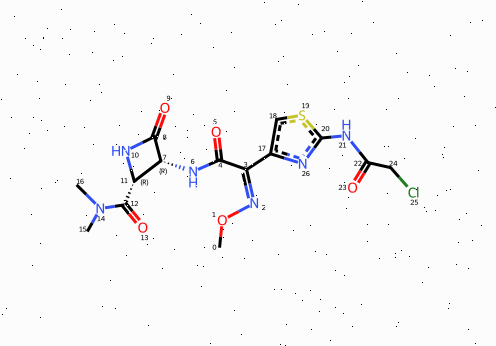 CON=C(C(=O)N[C@H]1C(=O)N[C@H]1C(=O)N(C)C)c1csc(NC(=O)CCl)n1